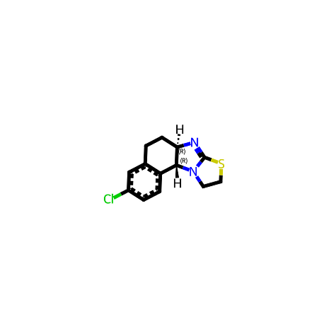 Clc1ccc2c(c1)CC[C@H]1N=C3SCCN3[C@H]21